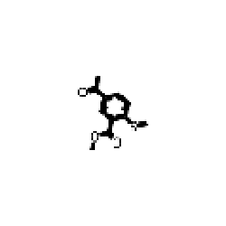 COC(=O)c1cc(C(C)=O)ccc1SC